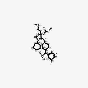 COC(=O)OC1(CCSC)N=CN(C2CCCCC2)C1CC1CCC(C(c2cccc(F)c2)N(C)C)CC1